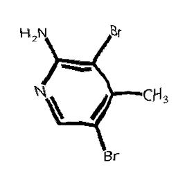 Cc1c(Br)cnc(N)c1Br